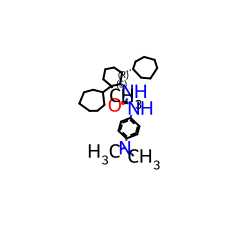 CN(C)c1ccc(NC(=O)N[C@H]2[C@@H](C3CCCCCC3)CCCC2(C)C2CCCCCC2)cc1